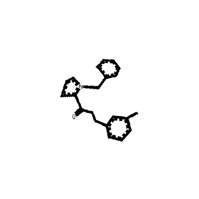 Cc1cccc(CCC(=O)c2cccn2Cc2ccccc2)c1